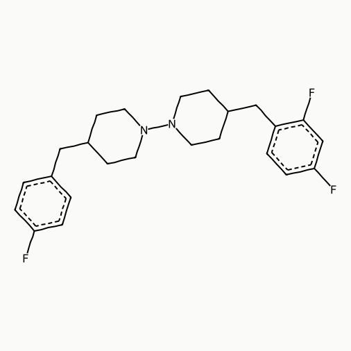 Fc1ccc(CC2CCN(N3CCC(Cc4ccc(F)cc4F)CC3)CC2)cc1